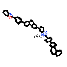 Cn1c(-c2ccc(-c3ccc4c(ccc5ccccc54)c3)cc2)nc2ccc(-c3ccc4c(ccc5cc(-c6ccc(-c7nc8ccccc8o7)cc6)ccc54)c3)cc21